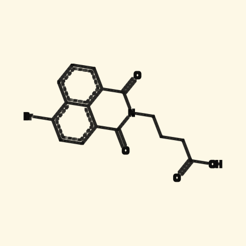 O=C(O)CCCN1C(=O)c2cccc3c(Br)ccc(c23)C1=O